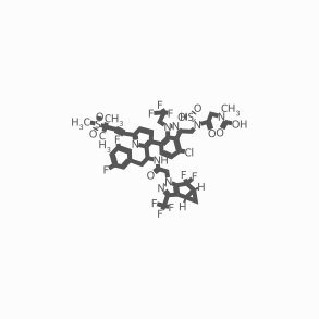 CN(CC(=O)N(Cc1nn(CC(F)(F)F)c2c(-c3ccc(C#CC(C)(C)S(C)(=O)=O)nc3C(Cc3cc(F)cc(F)c3)NC(=O)Cn3nc(C(F)(F)F)c4c3C(F)(F)[C@@H]3C[C@H]43)ccc(Cl)c12)[SH](=O)=O)C(=O)O